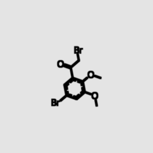 COc1cc(Br)cc(C(=O)CBr)c1OC